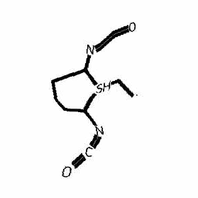 [CH2]C[SH]1C(N=C=O)CCC1N=C=O